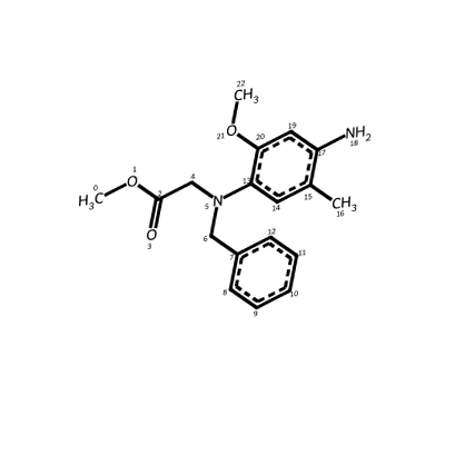 COC(=O)CN(Cc1ccccc1)c1cc(C)c(N)cc1OC